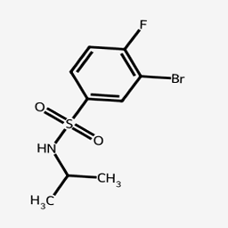 CC(C)NS(=O)(=O)c1ccc(F)c(Br)c1